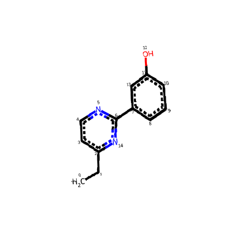 [CH2]Cc1ccnc(-c2cccc(O)c2)n1